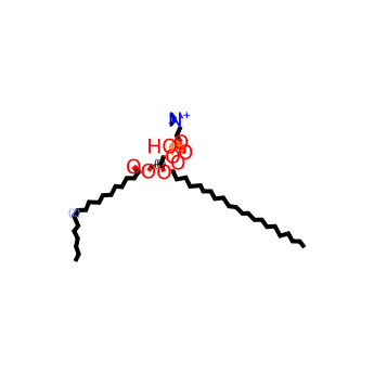 CCCCCC/C=C\CCCCCCCCCC(=O)OC[C@H](COP(=O)(O)OCC[N+](C)(C)C)OC(=O)CCCCCCCCCCCCCCCCCCCCC